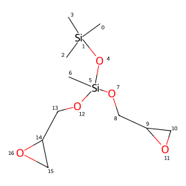 C[Si](C)(C)O[Si](C)(OCC1CO1)OCC1CO1